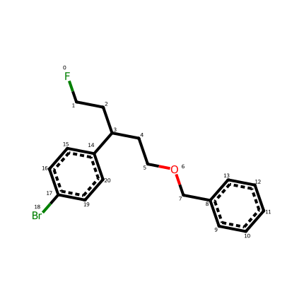 FCCC(CCOCc1ccccc1)c1ccc(Br)cc1